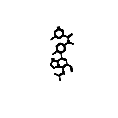 C=CC1=C(N=C(C)C)N2CCN=C2C(c2cc(N(C)C(=C)c3cncc(C)c3)ccc2C)=C1